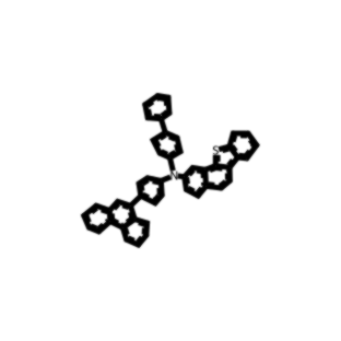 c1ccc(-c2ccc(N(c3ccc(-c4cc5ccccc5c5ccccc45)cc3)c3ccc4ccc5c6ccccc6sc5c4c3)cc2)cc1